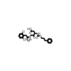 O=C(O)CC(NC(=O)OCCCc1ccccc1)C(=O)Cn1nnnc1Cc1c(Cl)cccc1Cl